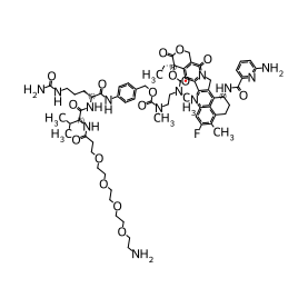 CC[C@]1(OC(=O)N(C)CCN(C)C(=O)OCc2ccc(NC(=O)[C@H](CCCNC(N)=O)NC(=O)[C@@H](NC(=O)CCOCCOCCOCCOCCN)C(C)C)cc2)C(=O)OCc2c1cc1n(c2=O)Cc2c-1nc1cc(F)c(C)c3c1c2[C@H](NC(=O)c1cccc(N)n1)CC3